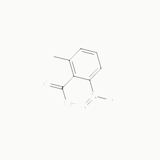 [CH2]c1cccc([N+](=O)[O-])c1C(=O)O